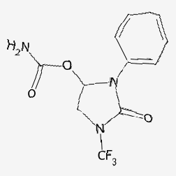 NC(=O)OC1CN(C(F)(F)F)C(=O)N1c1ccccc1